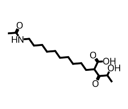 CC(=O)NCCCCCCCCCCC(C(=O)O)C(=O)C(C)O